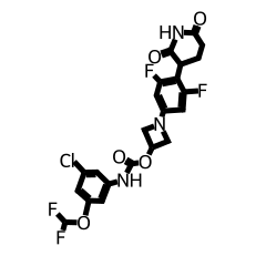 O=C1CCC(c2c(F)cc(N3CC(OC(=O)Nc4cc(Cl)cc(OC(F)F)c4)C3)cc2F)C(=O)N1